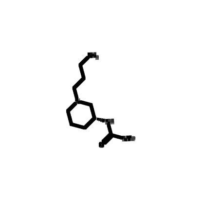 CNC(=O)N[C@@H]1CCCN(CCCN)C1